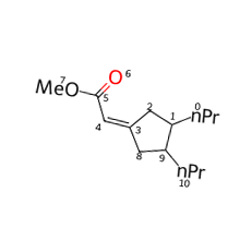 CCCC1CC(=CC(=O)OC)CC1CCC